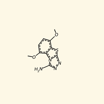 COc1ccc(OC)c2c1sc1nnc(N)n12